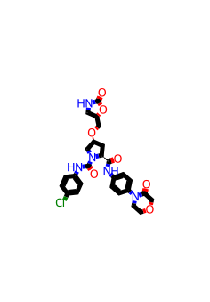 O=C1NCC(CO[C@@H]2C[C@H](C(=O)Nc3ccc(N4CCOCC4=O)cc3)N(C(=O)Nc3ccc(Cl)cc3)C2)O1